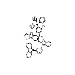 c1cc(-n2c3ccccc3c3ccccc32)cc(-n2c3ccccc3c3cc(-c4ccc5c(c4)Oc4ccccc4C54c5cccnc5-c5ncc(-n6c7ccccc7c7ccccc76)cc54)ccc32)c1